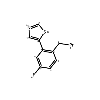 CC(C)Cc1ccc(F)cc1-c1cncs1